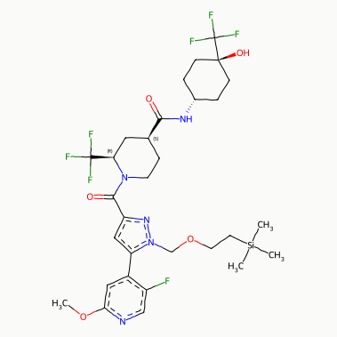 COc1cc(-c2cc(C(=O)N3CC[C@H](C(=O)N[C@H]4CC[C@@](O)(C(F)(F)F)CC4)C[C@@H]3C(F)(F)F)nn2COCC[Si](C)(C)C)c(F)cn1